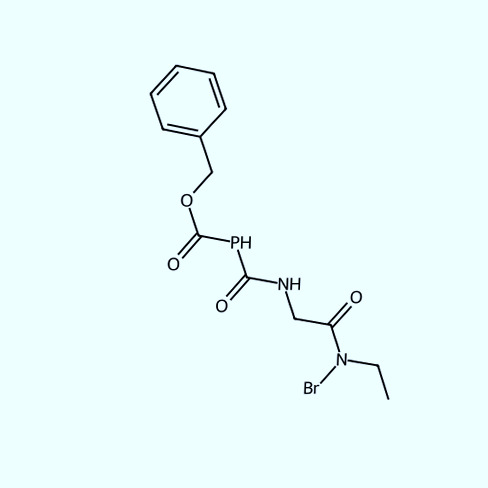 CCN(Br)C(=O)CNC(=O)PC(=O)OCc1ccccc1